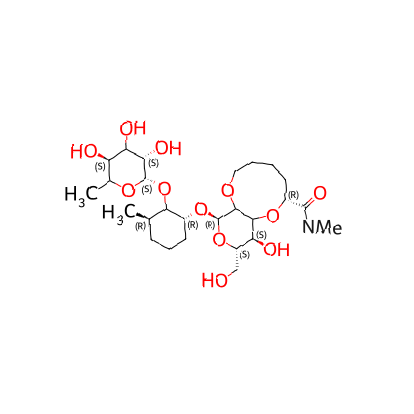 CNC(=O)[C@H]1CCCCOC2C(O1)[C@@H](O)[C@H](CO)O[C@H]2O[C@@H]1CCC[C@@H](C)C1O[C@@H]1OC(C)[C@@H](O)C(O)[C@@H]1O